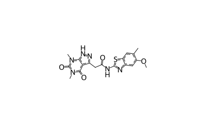 COc1cc2nc(NC(=O)Cc3n[nH]c4c3c(=O)n(C)c(=O)n4C)sc2cc1C